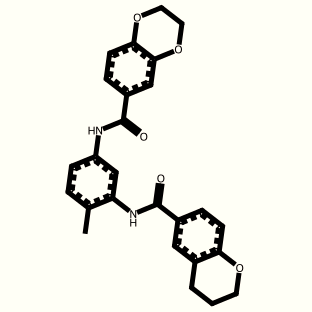 Cc1ccc(NC(=O)c2ccc3c(c2)OCCO3)cc1NC(=O)c1ccc2c(c1)CCCO2